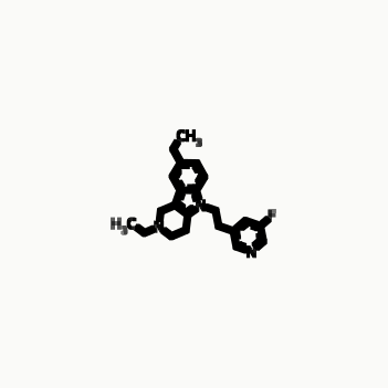 CCc1ccc2c(c1)c1c(n2CCc2cncc(F)c2)CCN(CC)C1